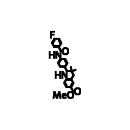 COC(=O)c1ccc2c(c1)CC(C)(C)C(c1ccc(NC(=O)c3ccc(F)cc3)cc1)N2